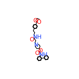 O=C(CCN1CCC(OC(=O)Nc2ccccc2-c2ccccc2)CC1)NCCCc1ccc(C2OCCO2)cc1